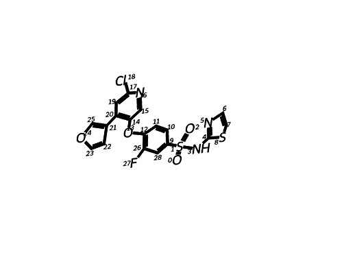 O=S(=O)(Nc1nccs1)c1ccc(Oc2cnc(Cl)cc2-c2ccoc2)c(F)c1